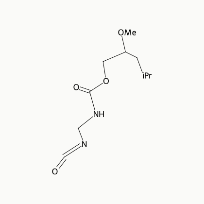 COC(COC(=O)NCN=C=O)CC(C)C